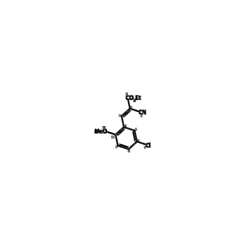 CCOC(=O)/C(C#N)=C/c1cc(Cl)ccc1OC